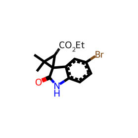 CCOC(=O)C1C(C)(C)C12C(=O)Nc1ccc(Br)cc12